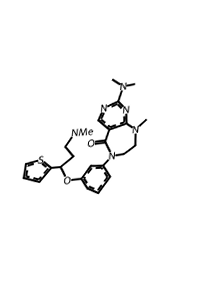 CNCCC(Oc1cccc(N2CCN(C)c3nc(N(C)C)ncc3C2=O)c1)c1cccs1